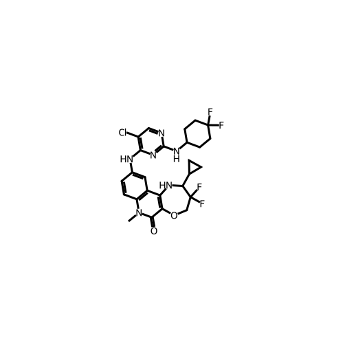 Cn1c(=O)c2c(c3cc(Nc4nc(NC5CCC(F)(F)CC5)ncc4Cl)ccc31)NC(C1CC1)C(F)(F)CO2